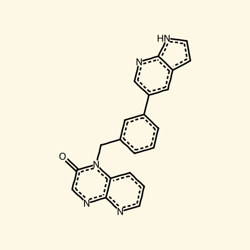 O=c1cnc2ncccc2n1Cc1cccc(-c2cnc3[nH]ccc3c2)c1